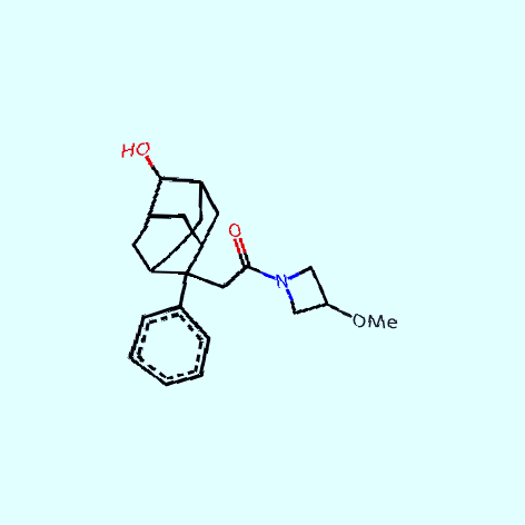 COC1CN(C(=O)CC2(c3ccccc3)C3CC4CC2CC(C3)C4O)C1